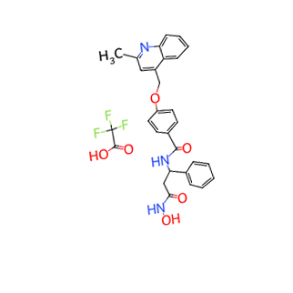 Cc1cc(COc2ccc(C(=O)NC(CC(=O)NO)c3ccccc3)cc2)c2ccccc2n1.O=C(O)C(F)(F)F